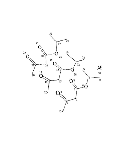 CC(=O)CC(=O)OC(C)C.CC(=O)CC(=O)OC(C)C.CC(=O)CC(=O)OC(C)C.[Al]